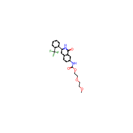 COCCOCCOC(=O)Nc1ccc2cc(-c3ccccc3C(F)(F)F)[nH]c(=O)c2c1